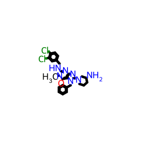 Cn1c(NCc2ccc(Cl)c(Cl)c2)nc2nc(N3CCCC(N)C3)n(Cc3ccccc3)c2c1=O